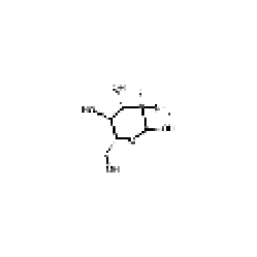 C[C@]1(N)C(O)O[C@H](CO)[C@@H](O)[C@@H]1O